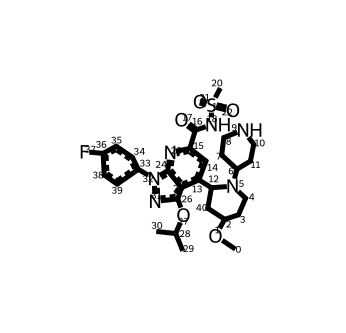 COC1CCN(C2CCNCC2)C(c2cc(C(=O)NS(C)(=O)=O)nc3c2c(OC(C)C)nn3-c2ccc(F)cc2)C1